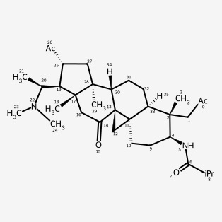 CC(=O)C[C@]1(C)[C@@H](NC(=O)C(C)C)CC[C@]23C[C@]24C(=O)C[C@]2(C)[C@@H]([C@H](C)N(C)C)[C@H](C(C)=O)C[C@@]2(C)[C@@H]4CC[C@@H]13